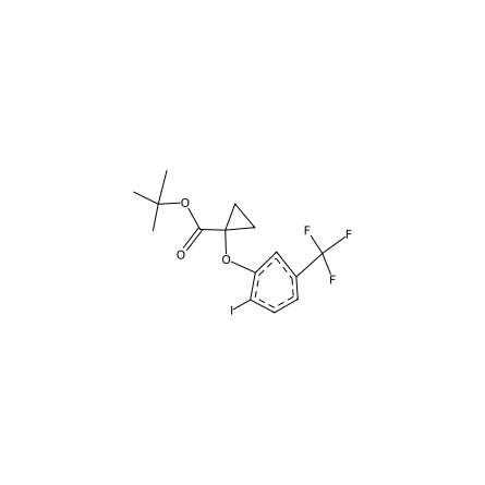 CC(C)(C)OC(=O)C1(Oc2cc(C(F)(F)F)ccc2I)CC1